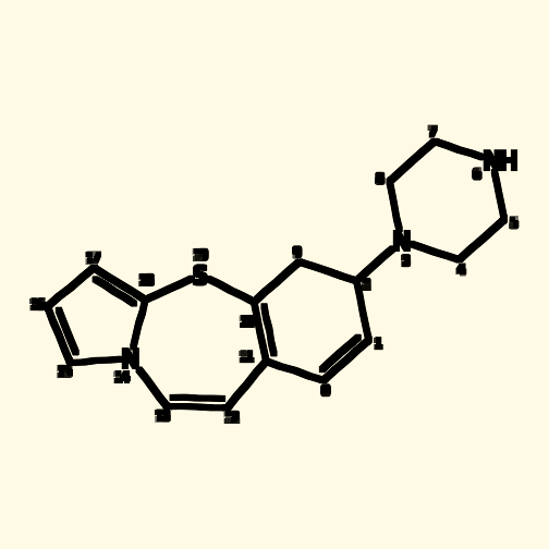 C1=CC(N2CCNCC2)CC2=C1C=Cn1cccc1S2